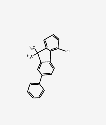 CC1(C)c2cc(-c3ccccc3)ccc2-c2c(Cl)cccc21